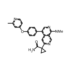 CNc1ncc(-c2ccc(Oc3ccnc(C)c3)cc2)c2cc(C3(C(N)=O)CC3)ncc12